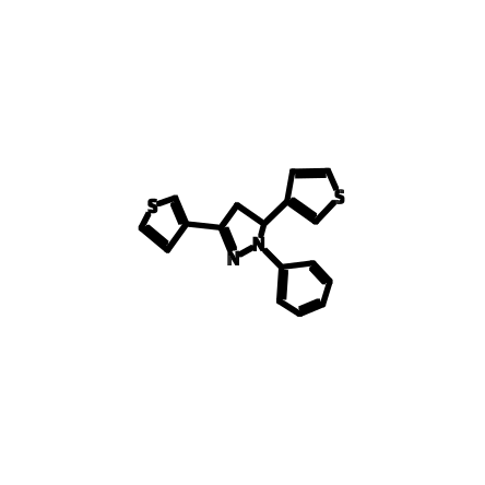 c1ccc(N2N=C(c3ccsc3)CC2c2ccsc2)cc1